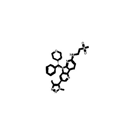 Cc1nnn(C)c1-c1cnc2c3ccc(NCCS(C)(=O)=O)nc3n([C@H](c3ccccc3)C3CCOCC3)c2c1